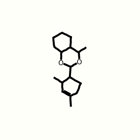 CC1=CC(C)C(C2OC(C)C3CCCCC3O2)CC1